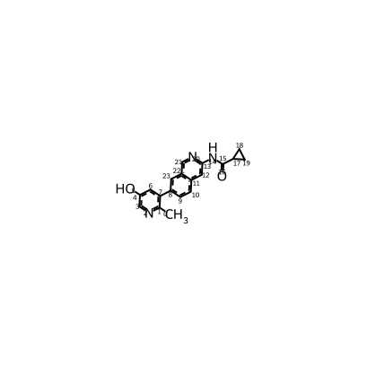 Cc1ncc(O)cc1-c1ccc2cc(NC(=O)C3CC3)ncc2c1